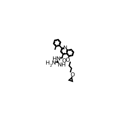 Cc1ccccc1-c1cc(C(=O)NC(=N)N)c2c(OCCCCOC3CC3)cccc2n1